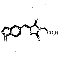 O=C(O)CN1C(=O)/C(=C/c2ccc3[nH]ccc3c2)SC1=S